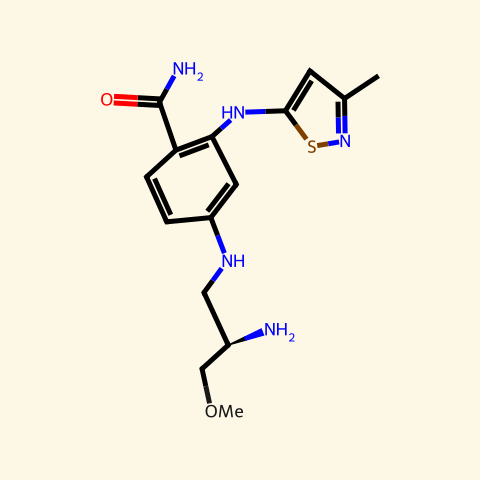 COC[C@H](N)CNc1ccc(C(N)=O)c(Nc2cc(C)ns2)c1